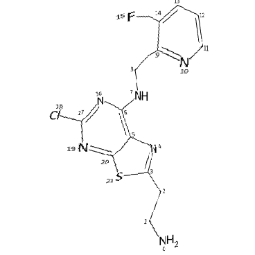 NCCc1nc2c(NCc3ncccc3F)nc(Cl)nc2s1